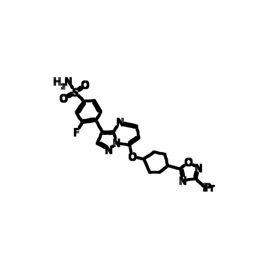 CC(C)c1noc(C2CCC(Oc3ccnc4c(-c5ccc(S(N)(=O)=O)cc5F)cnn34)CC2)n1